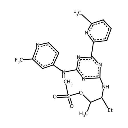 CCC(Nc1nc(Nc2ccnc(C(F)(F)F)c2)nc(-c2cccc(C(F)(F)F)n2)n1)C(C)OS(C)(=O)=O